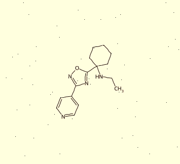 CCNC1(c2nc(-c3ccncc3)no2)CCCCC1